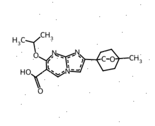 CC(C)Oc1nc2nc(C34CCC(C)(CC3)OC4)cn2cc1C(=O)O